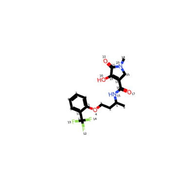 CC(CCOc1ccccc1C(F)(F)F)NC(=O)C1=C(O)C(=O)N(C)C1